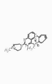 CN1CCN(c2nc(N(C)S(=O)(=O)c3ccccc3Cl)c3ccccc3n2)CC1